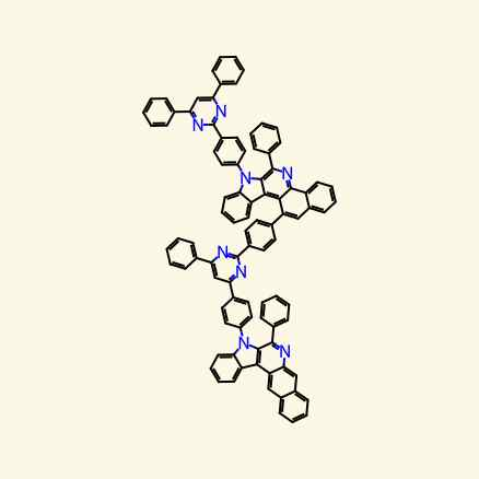 c1ccc(-c2cc(-c3ccc(-n4c5ccccc5c5c6cc7ccccc7cc6nc(-c6ccccc6)c54)cc3)nc(-c3ccc(-c4cc5ccccc5c5nc(-c6ccccc6)c6c(c7ccccc7n6-c6ccc(-c7nc(-c8ccccc8)cc(-c8ccccc8)n7)cc6)c45)cc3)n2)cc1